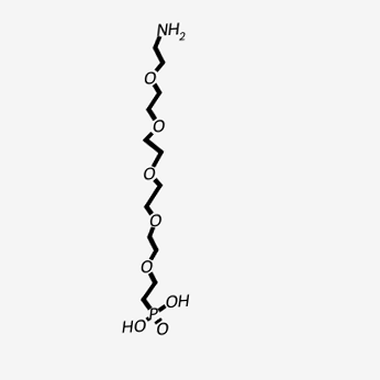 NCCOCCOCCOCCOCCOCCP(=O)(O)O